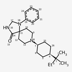 CCC(C)(C)[C@H]1CC[C@@H](N2CCC3(CC2)C(=O)NCN3c2ccccc2)CC1